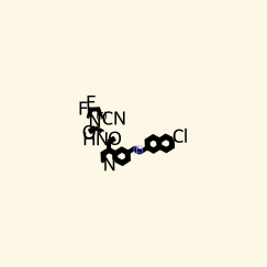 N#C[C@@H]1CC(F)(F)CN1C(=O)CNC(=O)c1ccnc2ccc(/C=C/c3ccc4cc(Cl)ccc4c3)cc12